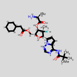 COC(C)(C)C(=O)Nc1ncnn2c([C@@H]3O[C@H](COC(=O)CC4CCCCC4)[C@@H](OC(=O)[C@@H](N)C(C)(C)C)[C@@]3(C)F)ccc12